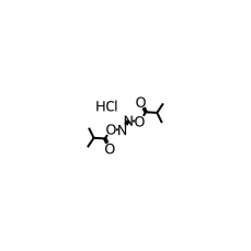 CC(C)C(=O)ON=NOC(=O)C(C)C.Cl